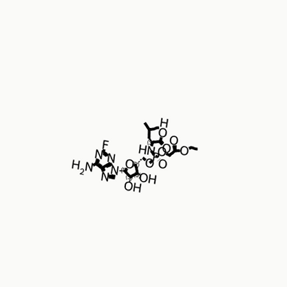 CCOC(=O)COP(=O)(N[C@@H](CC(C)C)C(=O)O)OC[C@H]1O[C@@H](n2cnc3c(N)nc(F)nc32)[C@@H](O)[C@@H]1O